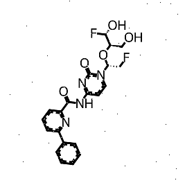 O=C(Nc1ccn([C@@H](CF)O[C@H](CO)[C@@H](O)F)c(=O)n1)c1cccc(-c2ccccc2)n1